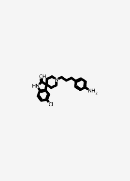 C=C1Nc2ccc(Cl)cc2C12CCN(CCCc1ccc(N)cc1)CC2